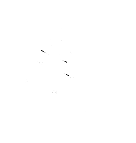 CC(=O)C1O[C@@H]2OC(C)(C)O[C@@H]2[C@@H](OCc2ccccc2)C1O